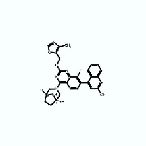 Cc1ncoc1COc1nc(N2C[C@H]3CC[C@@H](C2)N3)c2ccc(-c3cc(O)cc4ccccc34)c(F)c2n1